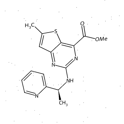 COC(=O)c1nc(N[C@@H](C)c2ccccn2)nc2cc(C)sc12